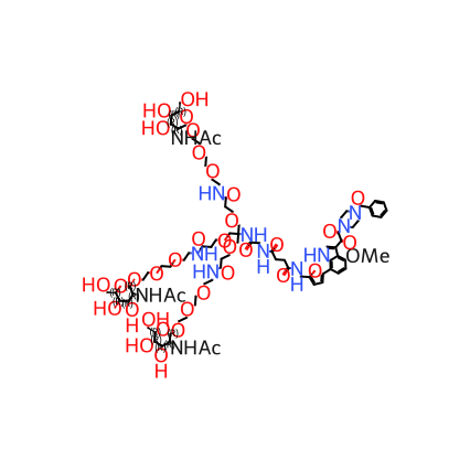 COc1ccc(-c2ccc(CNC(=O)CCC(=O)NCC(=O)NC(COCCC(=O)NCCOCCOCCOC3O[C@H](CO)[C@H](O)[C@H](O)[C@H]3NC(C)=O)(COCCC(=O)NCCOCCOCCO[C@@H]3O[C@H](CO)[C@H](O)[C@H](O)[C@H]3NC(C)=O)COCCC(=O)NCCOCCOCCO[C@@H]3O[C@H](CO)[C@H](O)[C@H](O)[C@H]3NC(C)=O)o2)c2[nH]cc(C(=O)C(=O)N3CCN(C(=O)c4ccccc4)CC3)c12